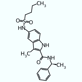 CCCCS(=O)(=O)Nc1ccc2[nH]c(C(=O)N[C@@H](C)c3ccccc3)c(C)c2c1